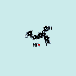 Cl.Cl.FC(F)(F)Oc1ccc(-c2cn(CC3CCNCC3)c3ccc(CN4CCN(Cc5ccccc5Cl)CC4)cc23)cc1